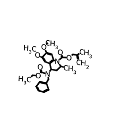 C=C(C)COC(=O)N1c2cc(OC)c(OC)cc2C(N(Cc2ccccc2)C(=O)OCC)CC1C